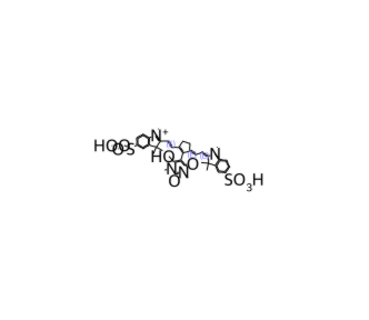 CN1/C(=C/C=C2\CCC(/C=C/C3=[N+](C)c4ccc(SOOO)cc4C3(C)C)=C2c2c(O)n(C)c(=O)n(C)c2=O)C(C)(C)c2cc(S(=O)(=O)O)ccc21